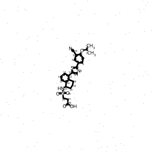 CC(C)Oc1ccc(-c2nnc(-c3cccc4c3CCCC4NS(=O)(=O)CCC(=O)O)s2)cc1C#N